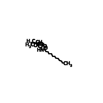 CCCCCCCCCCCCC(=O)N[C@@H](CC(=O)OC(C)(C)C)C(=O)O